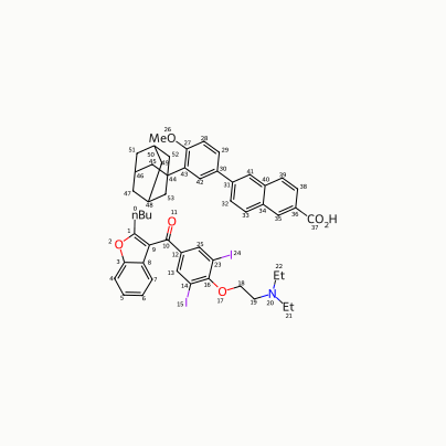 CCCCc1oc2ccccc2c1C(=O)c1cc(I)c(OCCN(CC)CC)c(I)c1.COc1ccc(-c2ccc3cc(C(=O)O)ccc3c2)cc1C12CC3CC(CC(C3)C1)C2